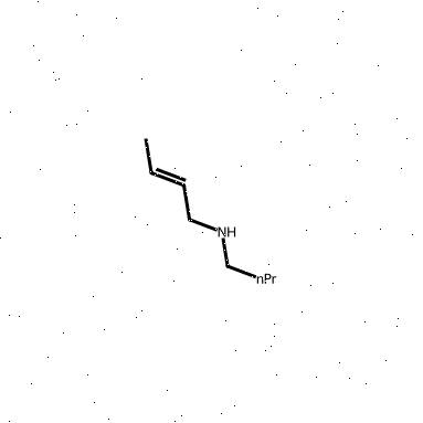 CC=CCNCCCC